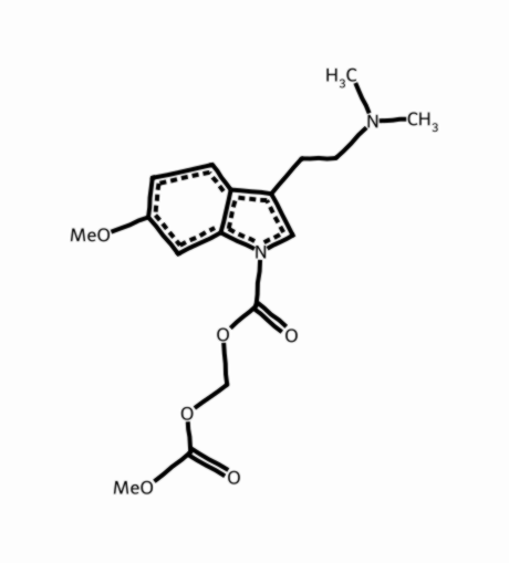 COC(=O)OCOC(=O)n1cc(CCN(C)C)c2ccc(OC)cc21